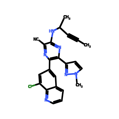 CC#CC(C)Nc1nc(-c2ccn(C)n2)c(-c2cc(Cl)c3ncccc3c2)nc1C#N